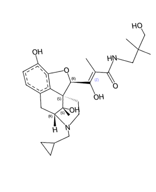 C/C(C(=O)NCC(C)(C)CO)=C(/O)[C@@H]1Oc2c(O)ccc3c2[C@@]12CCN(CC1CC1)[C@H](C3)[C@@]2(C)O